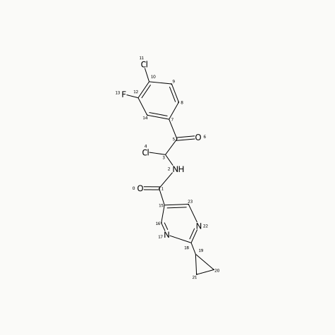 O=C(NC(Cl)C(=O)c1ccc(Cl)c(F)c1)c1cnc(C2CC2)nc1